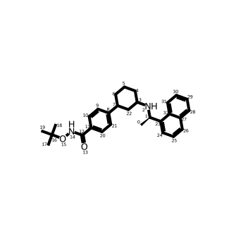 C[C@@H](NC1CCCC(c2ccc(C(=O)NOC(C)(C)C)cc2)C1)c1cccc2ccccc12